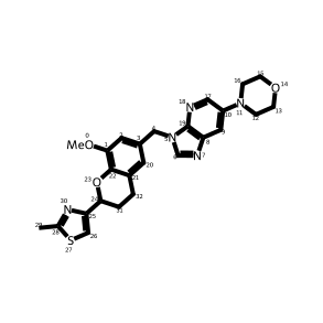 COc1cc(Cn2cnc3cc(N4CCOCC4)cnc32)cc2c1OC(c1csc(C)n1)CC2